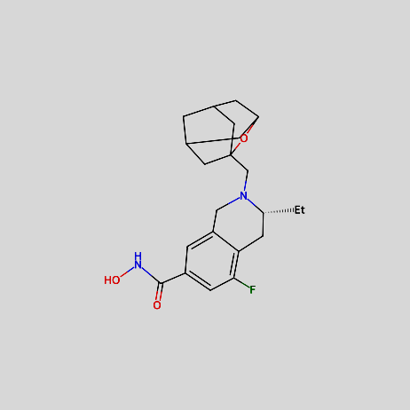 CC[C@@H]1Cc2c(F)cc(C(=O)NO)cc2CN1CC12CC3CC(CC(C3)O1)C2